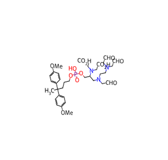 COc1ccc(C(C)(CCCOP(=O)(O)OCC(CN(CC=O)CCN(CC=O)CC=O)N(CC(=O)O)CC(=O)O)c2ccc(OC)cc2)cc1